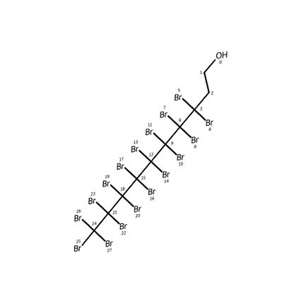 OCCC(Br)(Br)C(Br)(Br)C(Br)(Br)C(Br)(Br)C(Br)(Br)C(Br)(Br)C(Br)(Br)C(Br)(Br)Br